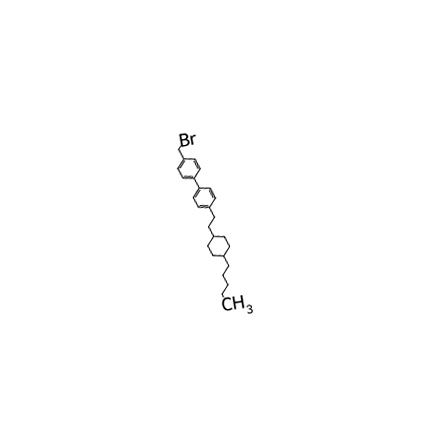 CCCCCC1CCC(CCc2ccc(-c3ccc(CBr)cc3)cc2)CC1